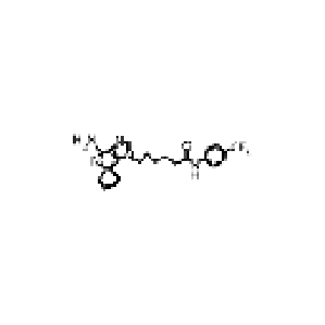 Nc1nc2ccccc2c2c1ncn2CCCCCC(=O)Nc1ccc(C(F)(F)F)cc1